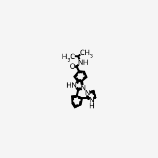 CC(C)NC(=O)c1ccc2nc(-c3ccccc3-c3ncc[nH]3)[nH]c2c1